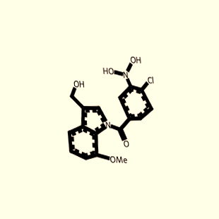 COc1cccc2c(CO)cn(C(=O)c3ccc(Cl)c(N(O)O)c3)c12